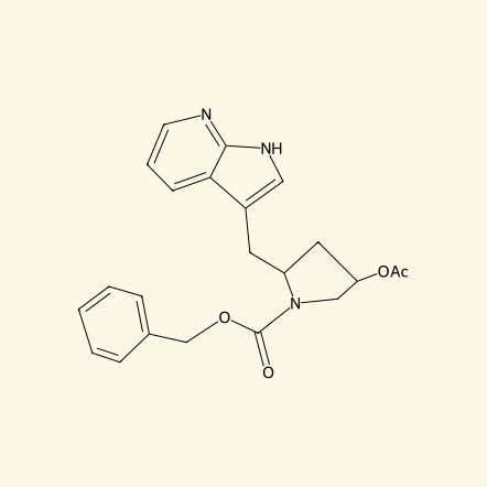 CC(=O)OC1CC(Cc2c[nH]c3ncccc23)N(C(=O)OCc2ccccc2)C1